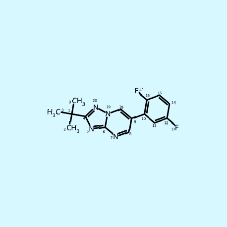 CC(C)(C)c1nc2ncc(-c3cc(F)ccc3F)cn2n1